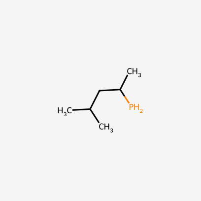 CC(C)CC(C)P